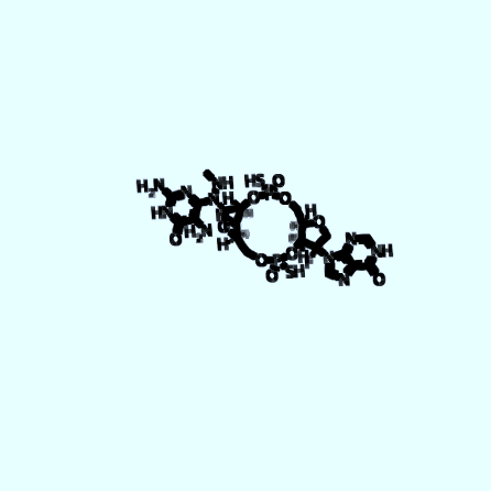 CNN(c1nc(N)[nH]c(=O)c1N)[C@@H]1O[C@@H]2COP(=O)(S)O[C@@H]3[C@@H](COP(=O)(S)O[C@@H]1[C@H]2F)OC[C@]3(F)n1cnc2c(=O)[nH]cnc21